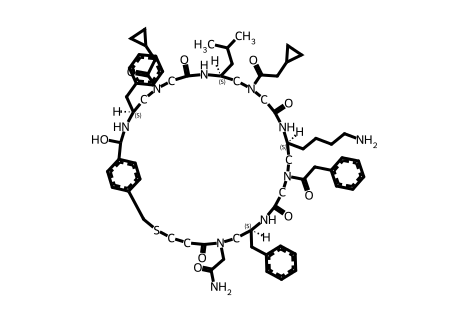 CC(C)C[C@H]1CN(C(=O)CC2CC2)CC(=O)N[C@@H](CCCCN)CN(C(=O)Cc2ccccc2)CC(=O)N[C@@H](Cc2ccccc2)CN(CC(N)=O)C(=O)CCSCc2ccc(cc2)C(O)N[C@@H](Cc2ccccc2)CN(C(=O)CC2CC2)CC(=O)N1